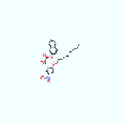 CCCCCCCCCCCOc1ccc([N+](=O)[O-])cc1[C@@H]1O[C@H]1C(=O)Oc1ccc2ccccc2c1